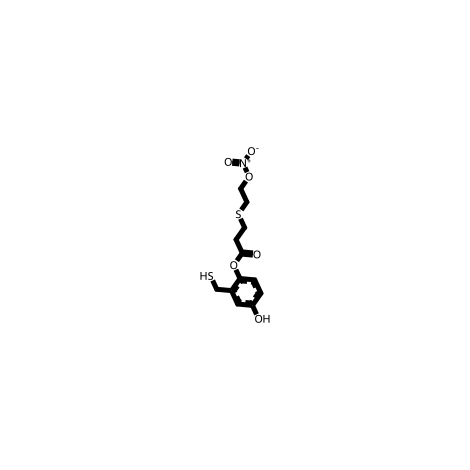 O=C(CCSCCO[N+](=O)[O-])Oc1ccc(O)cc1CS